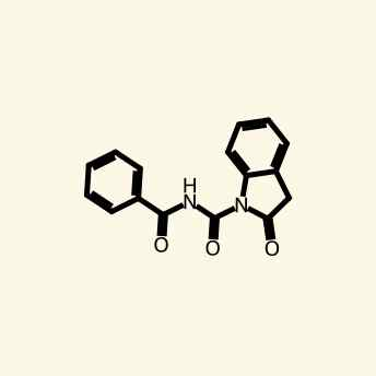 O=C(NC(=O)N1C(=O)Cc2ccccc21)c1ccccc1